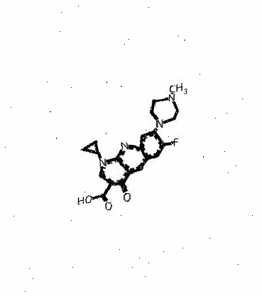 CN1CCN(c2cc3nc4c(cc3cc2F)c(=O)c(C(=O)O)cn4C2CC2)CC1